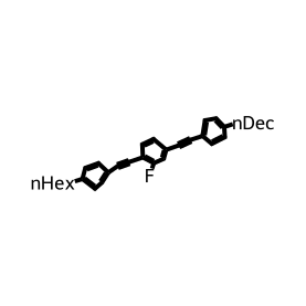 CCCCCCCCCCc1ccc(C#Cc2ccc(C#Cc3ccc(CCCCCC)cc3)c(F)c2)cc1